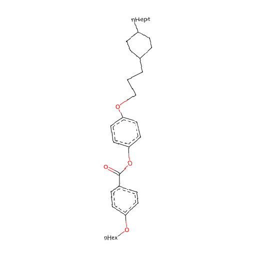 CCCCCCCC1CCC(CCCOc2ccc(OC(=O)c3ccc(OCCCCCC)cc3)cc2)CC1